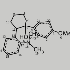 COc1ccc(C2(O)CCCCC2c2ccccc2N(C)C)cc1